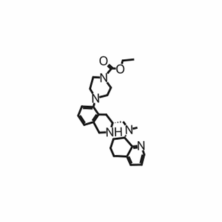 CCOC(=O)N1CCN(c2cccc3c2C[C@H](CN(C)[C@H]2CCCc4cccnc42)NC3)CC1